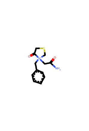 NC(=O)C[N+]1(Cc2ccccc2)CSCC1=O